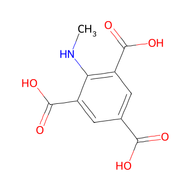 CNc1c(C(=O)O)cc(C(=O)O)cc1C(=O)O